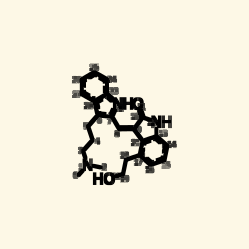 CN(C)CCCc1c(C=C2C(=O)Nc3cccc(CCO)c32)[nH]c2ccccc12